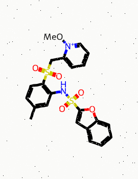 CO[n+]1ccccc1CS(=O)(=O)c1ccc(C)cc1NS(=O)(=O)c1cc2ccccc2o1